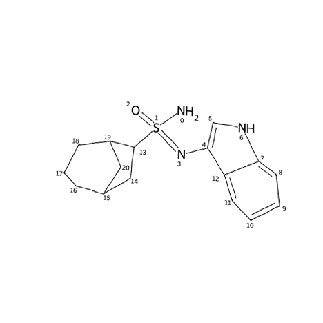 NS(=O)(=Nc1c[nH]c2ccccc12)C1CC2CCCC1C2